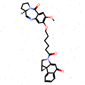 COc1cc2c(cc1OCCCCCC(=O)N1CC3C[C@]34C1=CC(=O)c1ccccc14)N=C[C@@H]1CCCN1C2=O